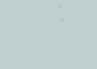 Cc1c(C(O)C2CCOCC2)sc2nc(-c3cnc4c(c3)nnn4C)ccc12